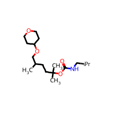 CC(C)CNC(=O)OC(C)(C)CCC(C)COC1CCOCC1